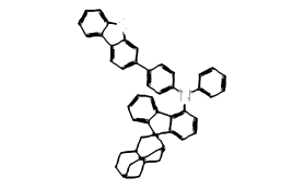 c1ccc(N(c2ccc(-c3ccc4c(c3)sc3ccccc34)cc2)c2cccc3c2-c2ccccc2C32CC3CCC4CC3CC2C4)cc1